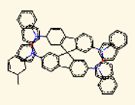 CC1C=CC=C(N(c2ccccc2)c2ccc3c(c2)C2(C4=C(C=CC(N(c5ccccc5)c5ccccc5)C4)c4ccc(N(c5ccccc5)c5ccccc5)cc42)c2cc(N(c4ccccc4)c4ccccc4)ccc2-3)C1